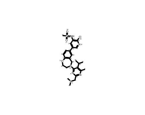 Cc1nc(CN(C)C)nc(N2CCOc3ccc(-c4cnc(Cl)c(NS(C)(=O)=O)c4)cc3C2)c1C(C)C